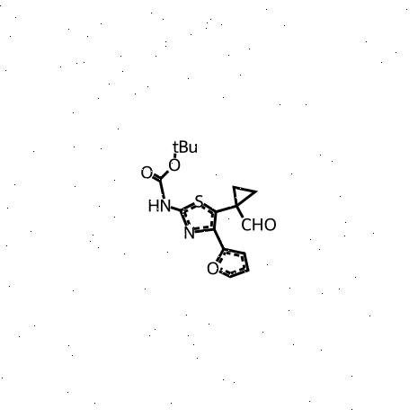 CC(C)(C)OC(=O)Nc1nc(-c2ccco2)c(C2(C=O)CC2)s1